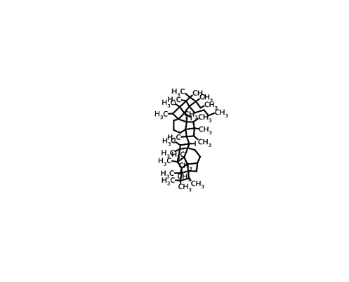 CCCCC12C(C)(CC)C(C)(C)C1(C)C1(C)C(C)C3(CCCC45C(C)(C(C)C4(C)C4(I)C(C)C6(C)C7(C)C(C)C89C(CCC64C78C)CC94C(C)C(C)(C)C4(C)C)C(C)C35C)C12I